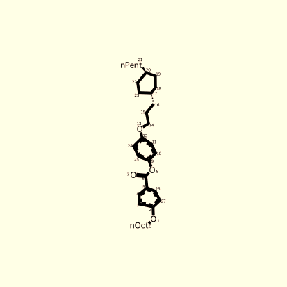 CCCCCCCCOc1ccc(C(=O)Oc2ccc(OCCC[C@H]3CC[C@H](CCCCC)CC3)cc2)cc1